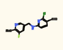 COc1ncc(CNc2ccc(C=O)c(Cl)n2)cc1F